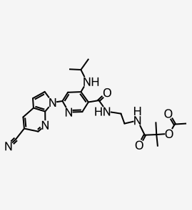 CC(=O)OC(C)(C)C(=O)NCCNC(=O)c1cnc(-n2ccc3cc(C#N)cnc32)cc1NC(C)C